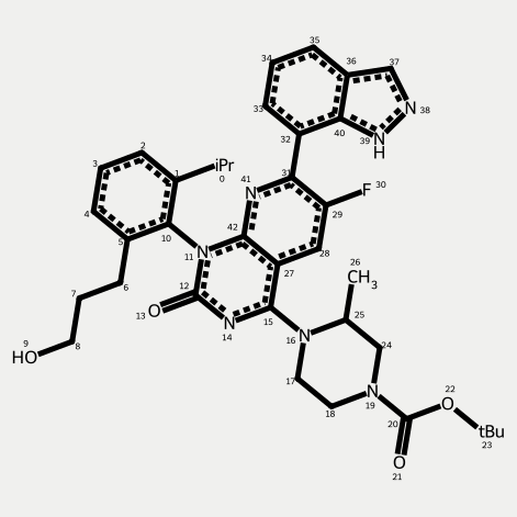 CC(C)c1cccc(CCCO)c1-n1c(=O)nc(N2CCN(C(=O)OC(C)(C)C)CC2C)c2cc(F)c(-c3cccc4cn[nH]c34)nc21